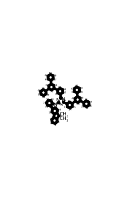 CC1(C)c2ccccc2-c2cc3c4ccccc4n(-c4nc(-c5cccc(-c6cc(-c7ccccc7)cc(-c7ccccc7)c6)c5)nc(-c5cccc(-c6cc(-c7ccccc7)cc(-c7ccccc7)c6)c5)n4)c3cc21